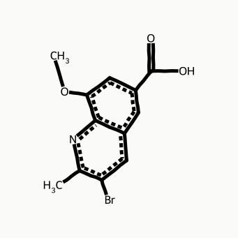 COc1cc(C(=O)O)cc2cc(Br)c(C)nc12